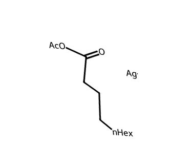 CCCCCCCCCC(=O)OC(C)=O.[Ag]